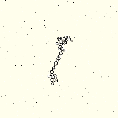 C=CCn1c(=O)c2cnc(Nc3ccc(N4CCN(C5CCN(C6CN(c7ccc8c(c7)C(=O)N(C7CCC(=O)NC7=O)C8=O)C6)CC5)CC4)cc3)nc2n1-c1cccc(C(C)(C)O)n1